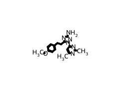 COc1ccc(CCc2nc(N)nn2-c2cc(C)nc(C)n2)cc1